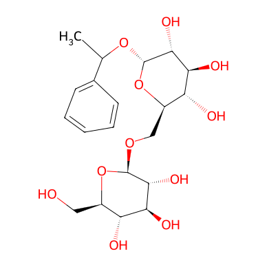 CC(O[C@H]1O[C@H](CO[C@@H]2O[C@H](CO)[C@@H](O)[C@H](O)[C@H]2O)[C@@H](O)[C@H](O)[C@H]1O)c1ccccc1